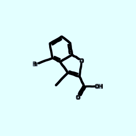 Cc1c(C(=O)O)oc2cccc(Br)c12